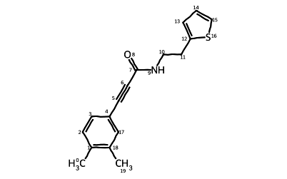 Cc1ccc(C#CC(=O)NCCc2cccs2)cc1C